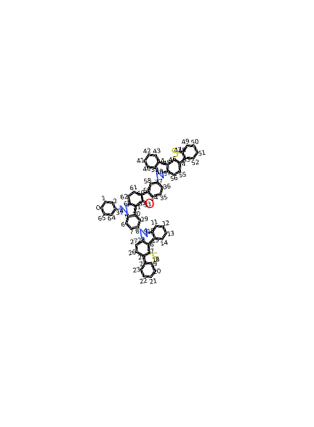 c1ccc(-n2c3ccc(-n4c5ccccc5c5c6sc7ccccc7c6ccc54)cc3c3c4oc5ccc(-n6c7ccccc7c7c8sc9ccccc9c8ccc76)cc5c4ccc32)cc1